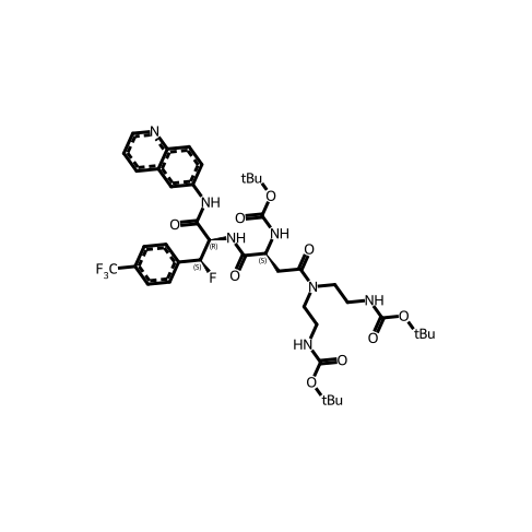 CC(C)(C)OC(=O)NCCN(CCNC(=O)OC(C)(C)C)C(=O)C[C@H](NC(=O)OC(C)(C)C)C(=O)N[C@H](C(=O)Nc1ccc2ncccc2c1)[C@@H](F)c1ccc(C(F)(F)F)cc1